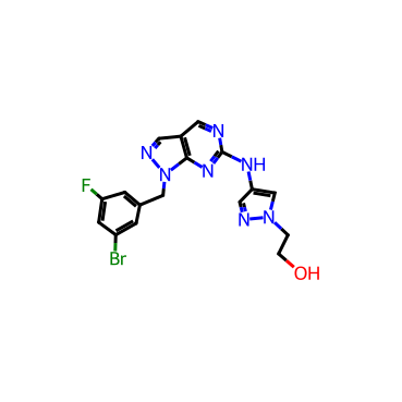 OCCn1cc(Nc2ncc3cnn(Cc4cc(F)cc(Br)c4)c3n2)cn1